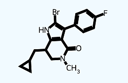 CN1CC(CC2CC2)c2[nH]c(Br)c(-c3ccc(F)cc3)c2C1=O